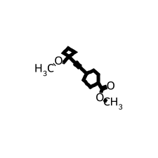 COCC1(C#CC2CCC(C(=O)OC)CC2)CCC1